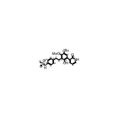 COc1c(C(C)(C)C)cc(-c2ccc[nH]c2=O)c(O)c1CCc1ccc(NS(C)(=O)=O)cc1